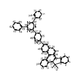 CC1(C)c2ccccc2-c2c1c1ccccc1c1c2ccc2cc(-c3ccc(-c4nc(-c5ccccc5)nc(-c5ccccc5)n4)cn3)ccc21